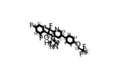 CC(F)(c1ccc(-c2ccc(OCC(F)(F)F)cc2)cn1)C(O)(Cn1cnnn1)c1ccc(F)cc1F